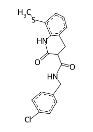 CSc1cccc2c1NC(=O)C(C(=O)NCc1ccc(Cl)cc1)C2